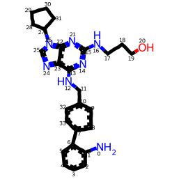 Nc1ccccc1-c1ccc(CNc2nc(NCCCO)nc3c2ncn3C2CCCC2)cc1